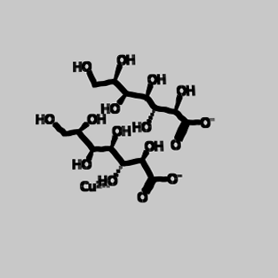 O=C([O-])[C@H](O)[C@H](O)[C@H](O)[C@@H](O)[C@H](O)CO.O=C([O-])[C@H](O)[C@H](O)[C@H](O)[C@@H](O)[C@H](O)CO.[Cu+2]